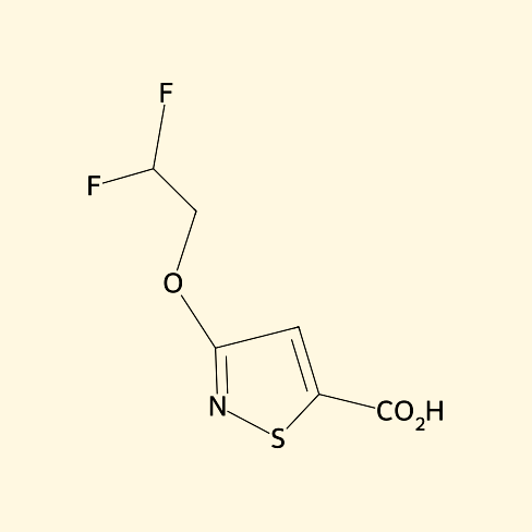 O=C(O)c1cc(OCC(F)F)ns1